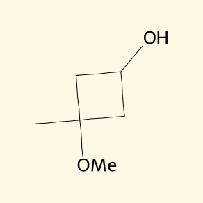 COC1(C)CC(O)C1